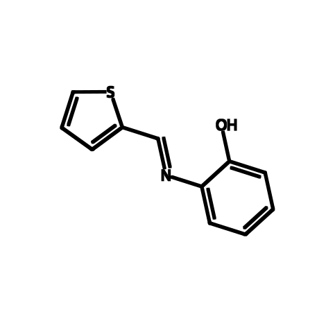 Oc1ccccc1/N=C/c1cccs1